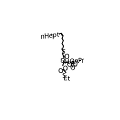 CCCCCCC/C=C\CCCCCSCC(=O)OC(COC(=O)CSCC)COP(=O)(O)OCCC